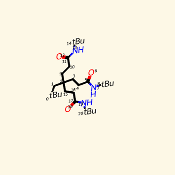 CC(C)(C)CC(CCC(=O)NC(C)(C)C)(CCC(=O)NC(C)(C)C)CCC(=O)NC(C)(C)C